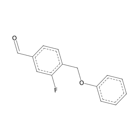 O=Cc1ccc(COc2ccccc2)c(F)c1